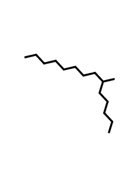 CCCCCCCCC(C)CCCCC